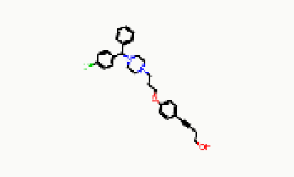 OCCC#Cc1ccc(OCCCN2CCN(C(c3ccccc3)c3ccc(Cl)cc3)CC2)cc1